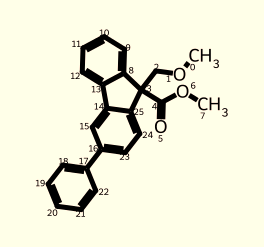 COCC1(C(=O)OC)c2ccccc2-c2cc(-c3ccccc3)ccc21